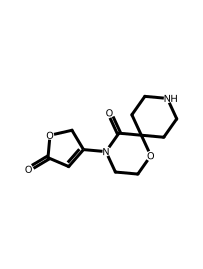 O=C1C=C(N2CCOC3(CCNCC3)C2=O)CO1